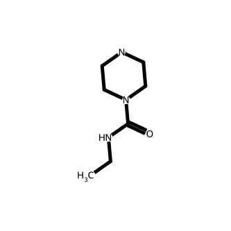 CCNC(=O)N1CC[N]CC1